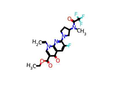 C=Cn1cc(C(=O)OCC)c(=O)c2cc(F)c(N3CCC(N(C)C(=O)C(F)(F)F)C3)nc21